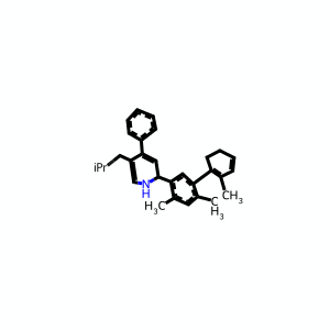 CC1=C(c2cc(C3C=C(c4ccccc4)C(CC(C)C)=CN3)c(C)cc2C)CCC=C1